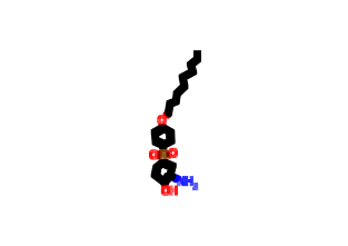 CCCCCCCCCCOc1ccc(S(=O)(=O)c2ccc(O)c(N)c2)cc1